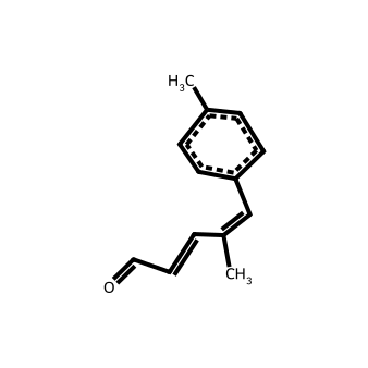 CC(C=CC=O)=Cc1ccc(C)cc1